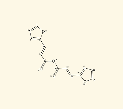 O=C(/C=C/c1ccco1)OC(=O)/C=C/c1ccco1